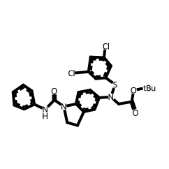 CC(C)(C)OC(=O)CN(Sc1cc(Cl)cc(Cl)c1)c1ccc2c(c1)CCN2C(=O)Nc1ccccc1